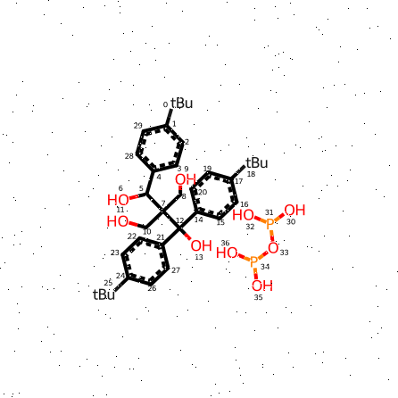 CC(C)(C)c1ccc(C(O)C(CO)(CO)C(O)(c2ccc(C(C)(C)C)cc2)c2ccc(C(C)(C)C)cc2)cc1.OP(O)OP(O)O